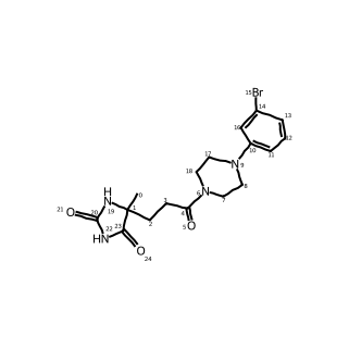 CC1(CCC(=O)N2CCN(c3cccc(Br)c3)CC2)NC(=O)NC1=O